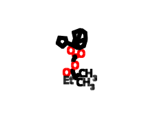 CCC(C)(C)C(=O)OCC(=O)OC1(C2CCCC2)C2CC3CC(C2)CC1C3